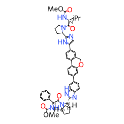 COC(=O)N[C@H](C(=O)N1CCCC1c1ncc(-c2ccc3c(c2)COc2cc(-c4ccc5nc([C@@H]6[C@H]7CC[C@H](C7)N6C(=O)[C@H](NC(=O)OC)c6ccccc6)[nH]c5c4)ccc2-3)[nH]1)C(C)C